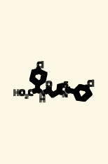 O=C(Cc1csc(-c2cccc(Cl)c2)n1)NC(C(=O)O)c1ccc(Cl)cc1